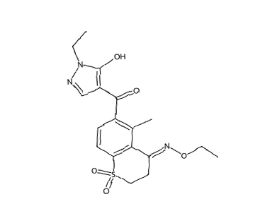 CCON=C1CCS(=O)(=O)c2ccc(C(=O)c3cnn(CC)c3O)c(C)c21